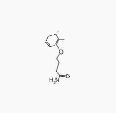 CC1=C(OCCCC(N)=O)C=CC[C@@H]1C